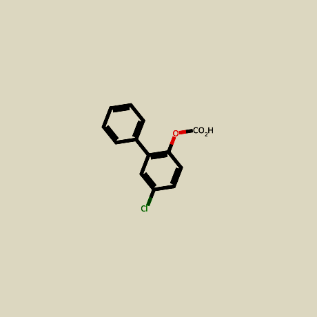 O=C(O)Oc1ccc(Cl)cc1-c1ccccc1